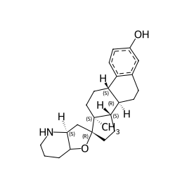 C[C@]12CC[C@@H]3c4ccc(O)cc4CC[C@H]3[C@@H]1CC[C@@]21C[C@@H]2NCCCC2O1